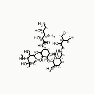 CN[C@@H]1C(O)[C@@H](OC2C(O)C(O[C@H]3OC(CNCC(O)C(CO)CO)CCC3N)[C@@H](N)C[C@H]2NC(=O)[C@@H](O)[C@@H](N)[C@@H](O)CN)OCC1(C)O